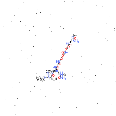 CC(=O)CN[C@@H](CCCCNC(=O)COCCOCCNC(=O)COCCOCCNC(=O)CCCC(=O)N[C@@H](CCCCNC(=O)CC[C@@H](C(=O)O)N(CCN(CC(=O)O)CC(=O)O)CCN(CC(=O)O)CC(=O)O)C(=O)NCCCC[C@H](NCC(C)=O)C(N)=O)C(N)=O